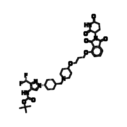 CC(C)(C)OC(=O)Nc1cn([C@H]2CC[C@H](CN3CCC(OCCCOc4cccc5c4C(=O)N(C4CCC(=O)NC4=O)C5=O)CC3)CC2)nc1C(F)F